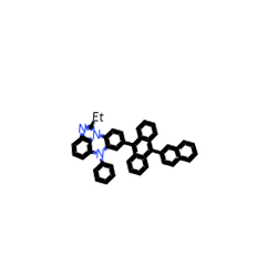 CCc1nc2cccc3c2n1-c1ccc(-c2c4ccccc4c(-c4ccc5ccccc5c4)c4ccccc24)cc1N3c1ccccc1